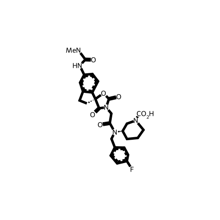 CNC(=O)Nc1ccc2c(c1)CC[C@@]21OC(=O)N(CC(=O)N(Cc2ccc(F)cc2)[C@H]2CCCN(C(=O)O)C2)C1=O